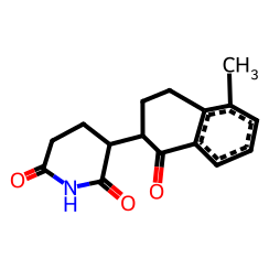 Cc1cccc2c1CCC(C1CCC(=O)NC1=O)C2=O